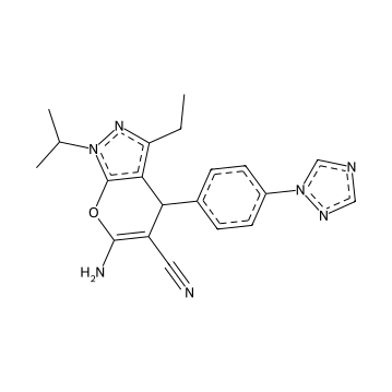 CCc1nn(C(C)C)c2c1C(c1ccc(-n3cncn3)cc1)C(C#N)=C(N)O2